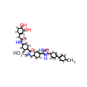 CC1C=CC(C2=CCC(C3NC(C4=CCC(CN(CC(=O)O)C(=O)C5CCC(NC(=O)CC6=CC(O)C(O)CC6)CC5)CC4)NO3)C=C2)=CC1